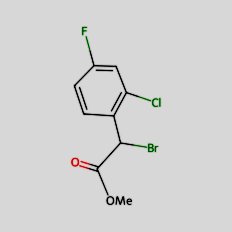 COC(=O)C(Br)c1ccc(F)cc1Cl